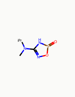 CC(C)N(C)C1=NOS(=O)N1